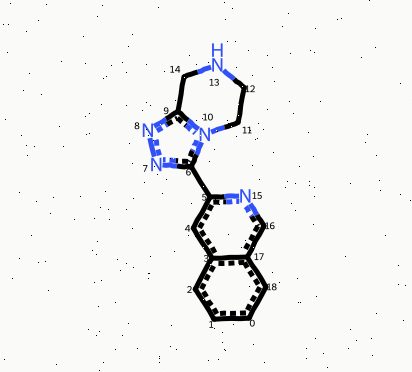 c1ccc2cc(-c3nnc4n3CCNC4)ncc2c1